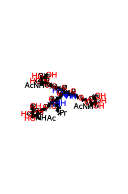 CC(=O)NC1C(OCCOCCNC(=O)CCC(NC(=O)CCC(NC(=O)CCC(C)C)C(=O)NCCOCCOC2OC(CO)C(O)C(O)C2NC(C)=O)C(=O)NCCOCCOC2OC(CO)C(O)C(O)C2NC(C)=O)OC(CO)C(O)C1O